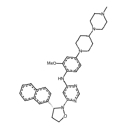 COc1cc(N2CCC(N3CCN(C)CC3)CC2)ccc1Nc1cc(N2OCC[C@@H]2c2ccc3ccccc3c2)ncn1